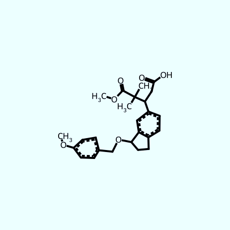 COC(=O)C(C)(C)C(CC(=O)O)c1ccc2c(c1)C(OCc1ccc(OC)cc1)CC2